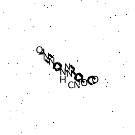 N#Cc1cc(-c2ccnc(Nc3ccc(N4CCN(C5COC5)CC4)cc3)n2)ccc1OC1CCOCC1